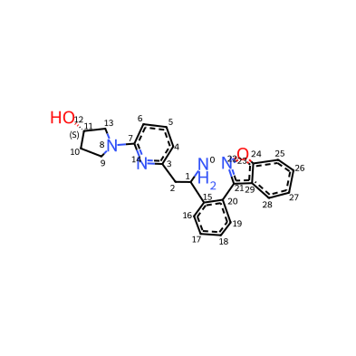 NC(Cc1cccc(N2CC[C@H](O)C2)n1)c1ccccc1-c1noc2ccccc12